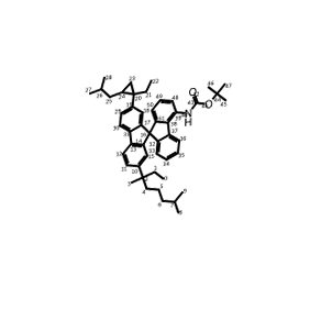 CCC(C)(CCCC(C)C)c1ccc2c(c1)C1(c3cc(C4(CC)CC4CC(C)C)ccc3-2)c2ccccc2-c2c(NC(=O)OC(C)(C)C)cccc21